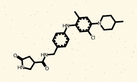 Cc1cc(N2CCC(C)CC2)c(Cl)cc1Nc1ccc(CNC(=O)C2CNC(=O)C2)cc1